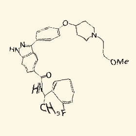 COCCN1CCC(Oc2ccc(-c3n[nH]c4ccc(C(=O)NC(C)c5ccccc5F)cc34)cc2)CC1